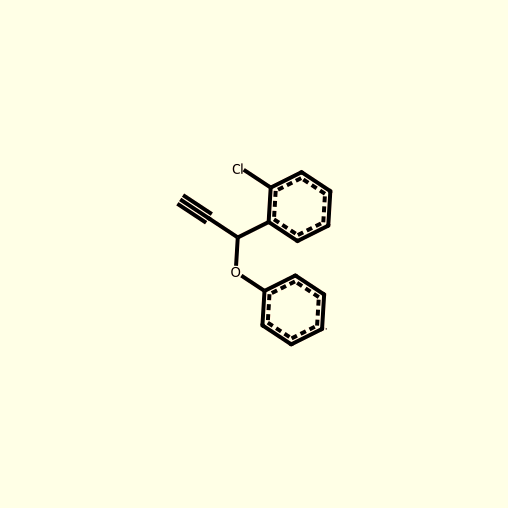 C#CC(Oc1cc[c]cc1)c1ccccc1Cl